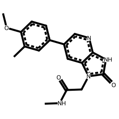 CNC(=O)Cn1c(=O)[nH]c2ncc(-c3ccc(OC)c(C)c3)cc21